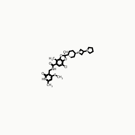 CSc1cc(C)[nH]c(=O)c1CNC(=O)c1cc(Cl)c2c(c1C)O[C@@](C)([C@H]1CC[C@H](N3CC(N4CCCC4)C3)CC1)O2